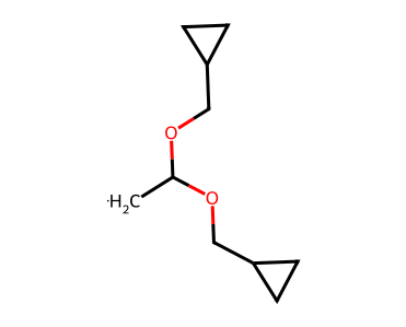 [CH2]C(OCC1CC1)OCC1CC1